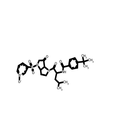 CC(C)CC(NC(=O)c1ccc(C(C)(C)C)cc1)C(=O)N1CCC2C1C(=O)CN2S(=O)(=O)c1ccc[n+]([O-])c1